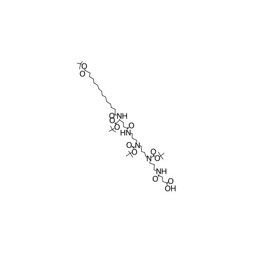 CC(C)(C)OC(=O)CCCCCCCCCCCCCC(=O)NC(CCC(=O)NCCCN(CCCCN(CCCNC(=O)CCC(=O)O)C(=O)OC(C)(C)C)C(=O)OC(C)(C)C)C(=O)OC(C)(C)C